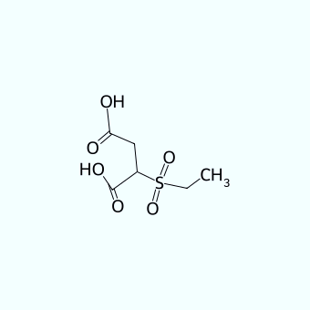 CCS(=O)(=O)C(CC(=O)O)C(=O)O